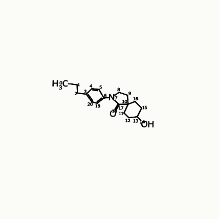 CCCc1ccc(N2CCC3(CCC(O)CC3)C2=O)cc1